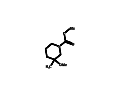 COC1(C)CCCN(C(=O)OC(C)(C)C)C1